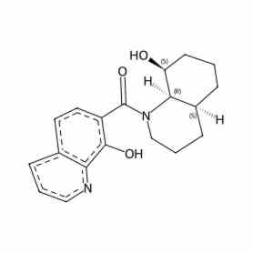 O=C(c1ccc2cccnc2c1O)N1CCC[C@@H]2CCC[C@H](O)[C@@H]21